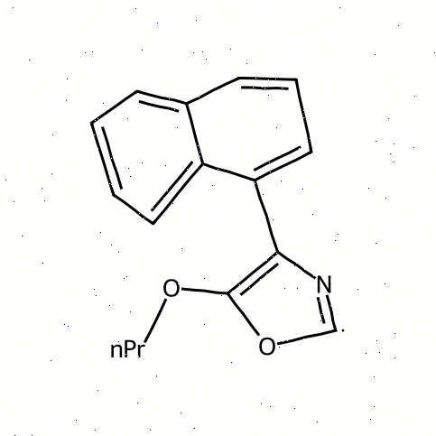 CCCOc1o[c]nc1-c1cccc2ccccc12